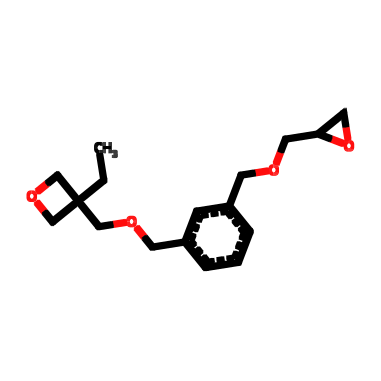 CCC1(COCc2cccc(COCC3CO3)c2)COC1